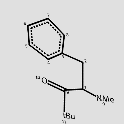 CNC(Cc1ccccc1)C(=O)C(C)(C)C